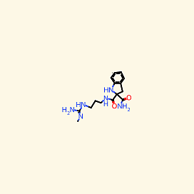 CN=C(N)NCCCNC(=O)C1(C(N)=O)Cc2cc[c]cc2N1